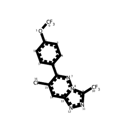 FC(F)(F)Oc1ccc(-c2nn3c(C(F)(F)F)nnc3cc2Cl)cc1